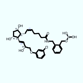 O=C(CCC/C=C\C[C@@H]1[C@@H](/C=C/[C@@H](O)COc2cccc(Cl)c2)[C@H](O)C[C@@H]1O)NCc1ccccc1CON(O)O